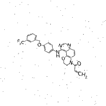 C=CC(=O)N1CCOc2c1ccc1ncnc(Nc3ccc(OCc4cccc(C(F)(F)F)c4)cc3)c21